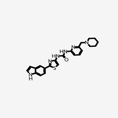 O=C(Nc1cccc(CN2CCCCC2)n1)Nc1csc(-c2ccc3[nH]ccc3c2)n1